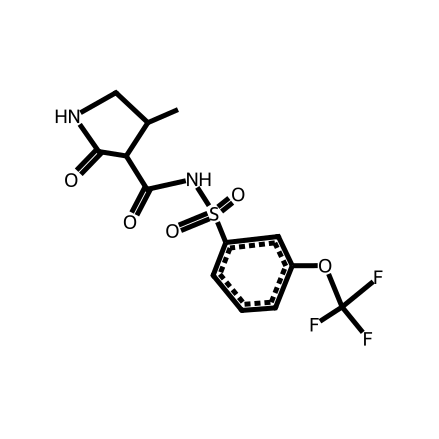 CC1CNC(=O)C1C(=O)NS(=O)(=O)c1cccc(OC(F)(F)F)c1